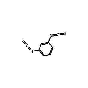 S=C=Nc1cccc(N=C=S)c1